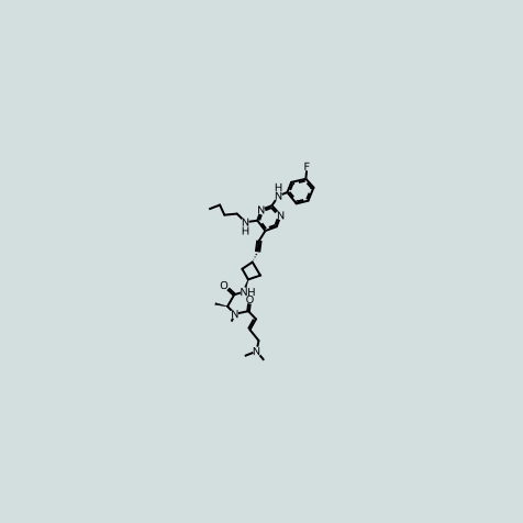 CCCCNc1nc(Nc2cccc(F)c2)ncc1C#C[C@H]1C[C@H](NC(=O)[C@H](C)N(C)C(=O)/C=C/CN(C)C)C1